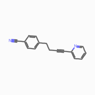 N#Cc1ccc(CCC#Cc2ccccn2)cc1